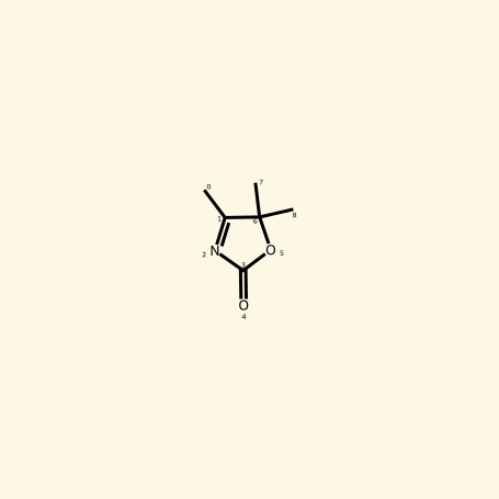 CC1=NC(=O)OC1(C)C